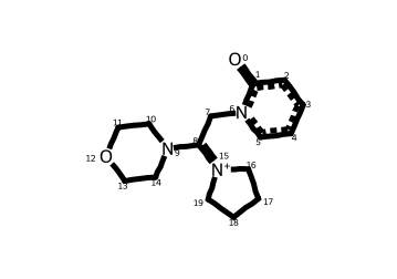 O=c1ccccn1CC(N1CCOCC1)=[N+]1CCCC1